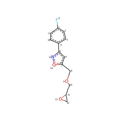 Fc1ccc(-c2cc(COCC3CO3)on2)cc1